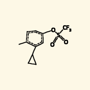 Cc1ccc(OS(=O)(=O)C(F)(F)F)cc1C1CC1